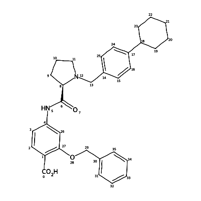 O=C(O)c1ccc(NC(=O)[C@H]2CCCN2Cc2ccc(C3CCCCC3)cc2)cc1OCc1ccccc1